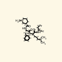 BN1CCC[C@H](C(=O)N[C@@H](Cc2ccccc2)C(=O)N[C@H](CCCN(C)C)C(=O)N[C@@H](CC(C)C)C(C)=O)C1